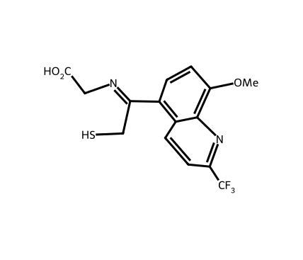 COc1ccc(/C(CS)=N/CC(=O)O)c2ccc(C(F)(F)F)nc12